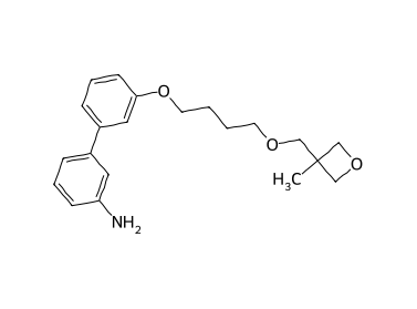 CC1(COCCCCOc2cccc(-c3cccc(N)c3)c2)COC1